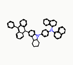 C1=CC2=C(c3ccccc3)c3ccccc3C(c3ccc4c(c3)C3CCCCC3N4c3ccc(N(c4cccc5ccccc45)c4cccc5ccccc45)cc3)C2C=C1